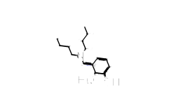 CCCCN(/C=C1\C=CC=C(O)C1O)CCCC